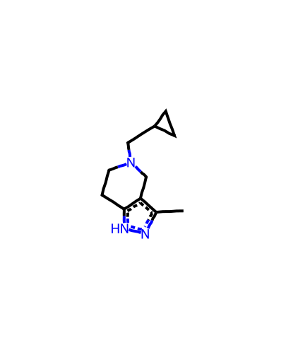 Cc1n[nH]c2c1CN(CC1CC1)CC2